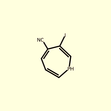 N#CC1=CC=CPC=C1I